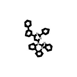 c1ccc(-c2cccc(-c3cc(N4c5ccccc5-c5ccccc5-n5c4nc4ccccc45)nc(-c4ccccc4)n3)c2)cc1